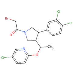 CC(Oc1ccc(Cl)cn1)C1CN(C(=O)CBr)CC1c1ccc(Cl)c(Cl)c1